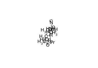 CC(C)C1=C2[C@H]3CC[C@@H]4[C@@]5(C)CC[C@@](O)(NC(=O)CCN6CCCC6)C(C)(C)[C@@H]5CC[C@@]4(C)[C@]3(C)CC[C@@]2(C)CC1=O